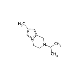 Cc1cc2n(c1)CCN(C(C)C)C2